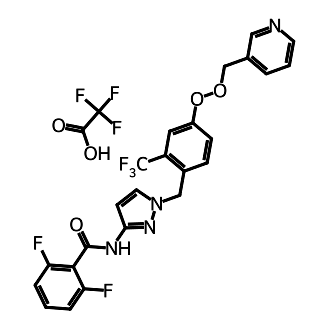 O=C(Nc1ccn(Cc2ccc(OOCc3cccnc3)cc2C(F)(F)F)n1)c1c(F)cccc1F.O=C(O)C(F)(F)F